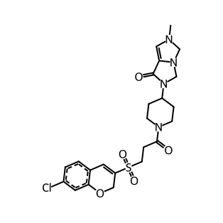 CN1C=C2C(=O)N(C3CCN(C(=O)CCS(=O)(=O)C4=Cc5ccc(Cl)cc5OC4)CC3)CN2C1